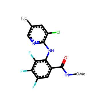 CONC(=O)c1cc(F)c(F)c(F)c1Nc1ncc(C(F)(F)F)cc1Cl